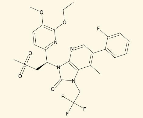 CCOc1nc([C@H](CS(C)(=O)=O)n2c(=O)n(CC(F)(F)F)c3c(C)c(-c4ccccc4F)cnc32)ccc1OC